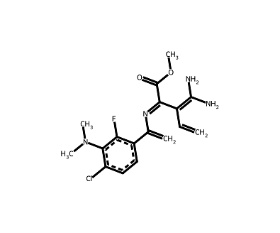 C=CC(=C(N)N)/C(=N\C(=C)c1ccc(Cl)c(N(C)C)c1F)C(=O)OC